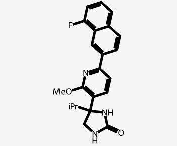 COc1nc(-c2ccc3cccc(F)c3c2)ccc1C1(C(C)C)CNC(=O)N1